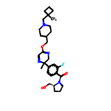 CC1(c2ccc(C(=O)N3CCC[C@@H]3CO)c(F)c2)CN=C(OCC2CCN(CC3(C(F)(F)F)CCC3)CC2)C=N1